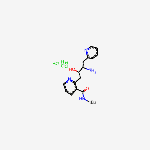 CC(C)(C)NC(=O)c1cccnc1CC(O)C(N)Cc1ccccn1.Cl.Cl.Cl